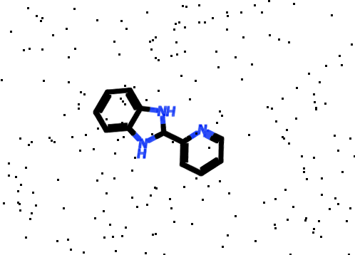 c1ccc(C2Nc3ccccc3N2)nc1